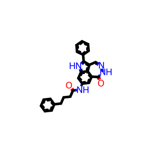 O=C(CCCc1ccccc1)Nc1cc2c3c(c(-c4ccccc4)[nH]c3c1)C=NNC2=O